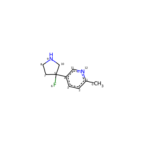 Cc1ccc(C2(F)CCNC2)cn1